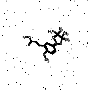 COC(=O)CCc1cc(B2OC(C)(C)C(C)(C)O2)ccc1OC